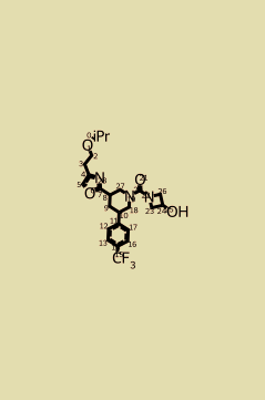 CC(C)OCCc1coc(C2CC(c3ccc(C(F)(F)F)cc3)CN(C(=O)N3CC(O)C3)C2)n1